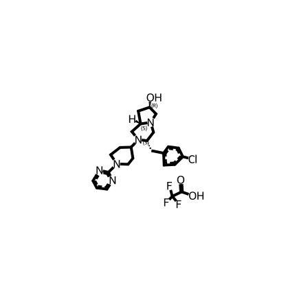 O=C(O)C(F)(F)F.O[C@@H]1C[C@H]2CN(C3CCN(c4ncccn4)CC3)[C@@H](Cc3ccc(Cl)cc3)CN2C1